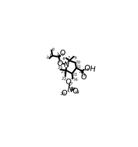 CC(C)C(=O)ON1C(C)(C)CC(C(=O)O)C(CO[N+](=O)[O-])C1(C)C